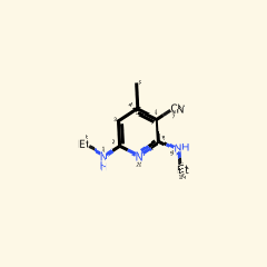 CCNc1cc(C)c(C#N)c(NCC)n1